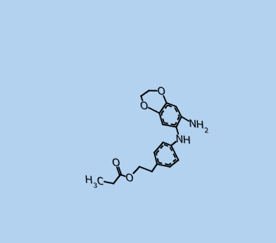 CCC(=O)OCCc1ccc(Nc2cc3c(cc2N)OCCO3)cc1